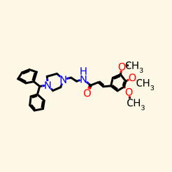 COc1cc(C=CC(=O)NCCN2CCN(C(c3ccccc3)c3ccccc3)CC2)cc(OC)c1OC